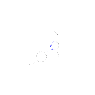 CCCCc1c(O)c(CC(C)C)nn1-c1ccc(OC)cc1